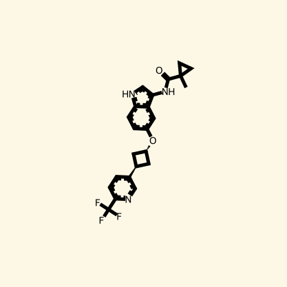 CC1(C(=O)Nc2c[nH]c3ccc(O[C@H]4C[C@H](c5ccc(C(F)(F)F)nc5)C4)cc23)CC1